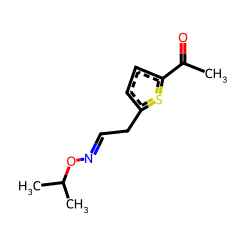 CC(=O)c1ccc(CC=NOC(C)C)s1